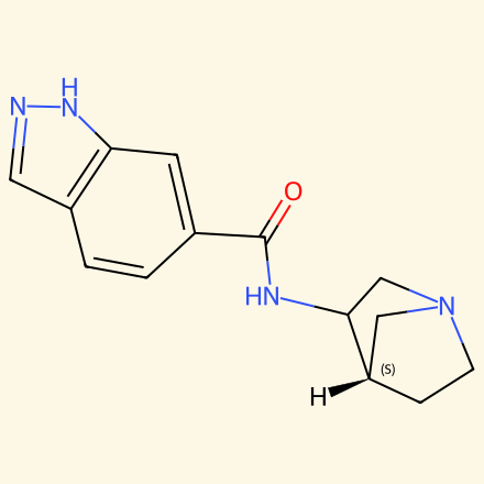 O=C(NC1CN2CC[C@H]1C2)c1ccc2cn[nH]c2c1